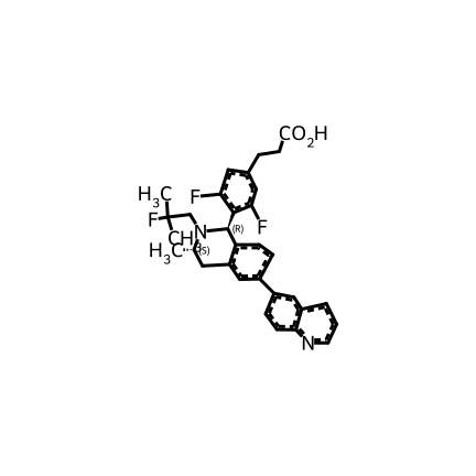 C[C@H]1Cc2cc(-c3ccc4ncccc4c3)ccc2[C@H](c2c(F)cc(CCC(=O)O)cc2F)N1CC(C)(C)F